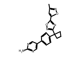 Cc1cc(-c2nc(C3(c4ccc(-c5cnc(N)nc5)cc4)CCC3)no2)on1